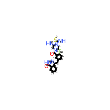 CSC(=N)N1CCN(C(=O)c2cc(Cc3n[nH]c(=O)c4ccccc34)ccc2F)CC1=N